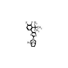 CC(C)(C)c1c(-c2csc(N3CC4CC[C@@H](C3)O4)n2)ccc(F)c1F